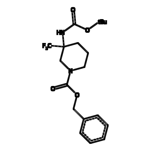 CC(C)(C)OC(=O)NC1(C(F)(F)F)CCCN(C(=O)OCc2ccccc2)C1